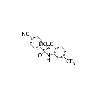 N#Cc1ccc(S(=O)(=O)Nc2cc(C(F)(F)F)ccc2C(=O)O)cc1